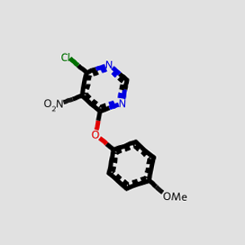 COc1ccc(Oc2ncnc(Cl)c2[N+](=O)[O-])cc1